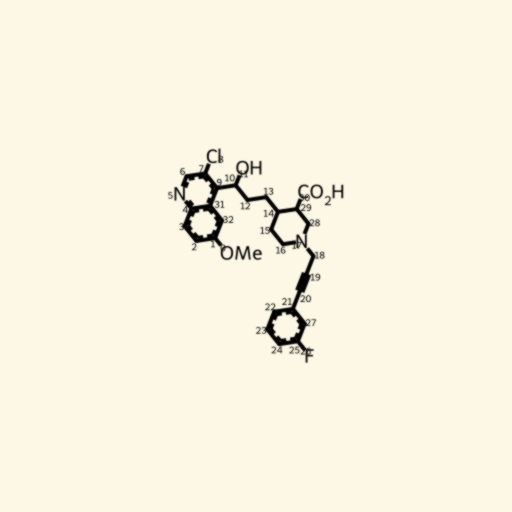 COc1ccc2ncc(Cl)c(C(O)CCC3CCN(CC#Cc4cccc(F)c4)CC3C(=O)O)c2c1